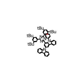 CC(C)(C)c1cc(-c2nc(-c3cc(C(C)(C)C)cc(C(C)(C)C)c3)nc(-c3cc(-n4c5ccccc5c5ccccc54)cc4c5ccccc5n(-c5ccccc5)c34)n2)cc(C(C)(C)C)c1